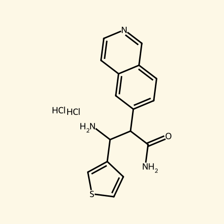 Cl.Cl.NC(=O)C(c1ccc2cnccc2c1)C(N)c1ccsc1